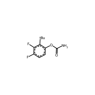 CC(C)(C)c1c(OC(N)=O)ccc(F)c1F